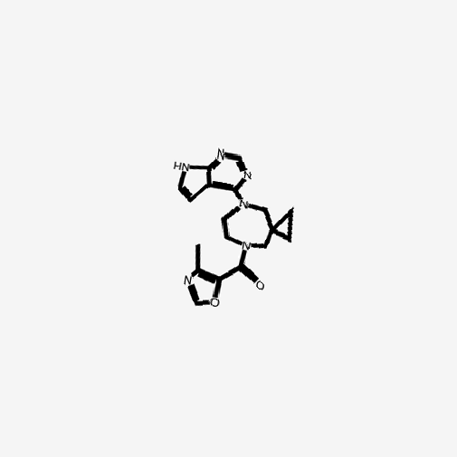 Cc1ncoc1C(=O)N1CCN(c2ncnc3[nH]ccc23)CC2(CC2)C1